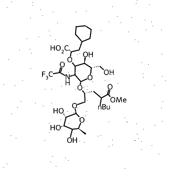 CCCCC(C[C@H](COC1O[C@@H](C)C(O)[C@H](O)[C@@H]1O)O[C@@H]1O[C@@H](CO)[C@H](O)C(O[C@@H](CC2CCCCC2)C(=O)O)C1NC(=O)C(F)(F)F)C(=O)OC